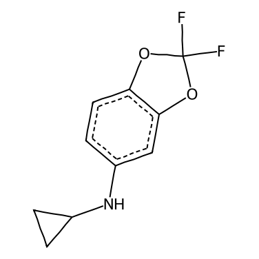 FC1(F)Oc2ccc(NC3CC3)cc2O1